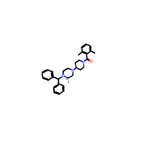 Cc1cccc(C)c1C(=O)N1CCC(N2CCN(C(c3ccccc3)c3ccccc3)[C@@H](C)C2)CC1